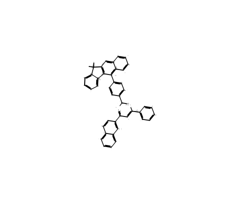 CC1(C)c2ccccc2-c2c1cc1ccccc1c2-c1ccc(C2N=C(c3ccc4ccccc4c3)C=C(c3ccccc3)N2)cc1